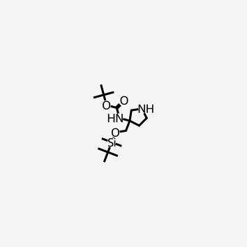 CC(C)(C)OC(=O)NC1(CO[Si](C)(C)C(C)(C)C)CCNC1